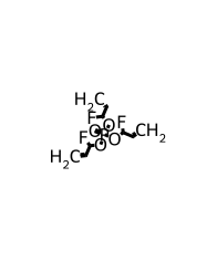 C=CC(F)OP(=O)(OC(F)C=C)OC(F)C=C